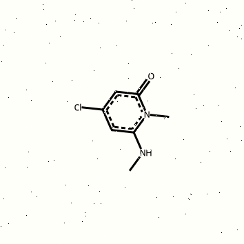 CNc1cc(Cl)cc(=O)n1C